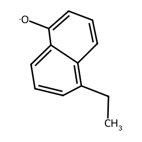 CCc1cccc2c([O])cccc12